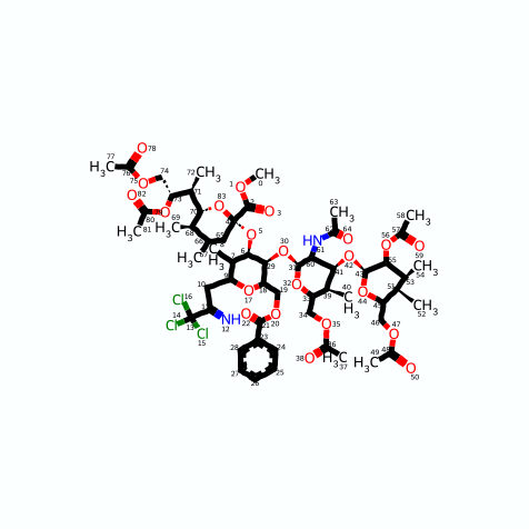 COC(=O)[C@@]1(O[C@@H]2C(C)C(CC(=N)C(Cl)(Cl)Cl)OC(COC(=O)c3ccccc3)[C@@H]2O[C@@H]2OC(COC(C)=O)[C@H](C)[C@H](O[C@@H]3OC(COC(C)=O)[C@H](C)[C@H](C)C3OC(C)=O)C2NC(C)=O)CC(C)[C@@H](C)[C@H]([C@H](C)[C@@H](COC(C)=O)OC(C)=O)O1